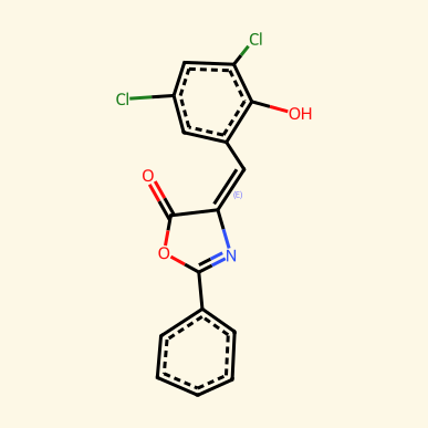 O=C1OC(c2ccccc2)=N/C1=C/c1cc(Cl)cc(Cl)c1O